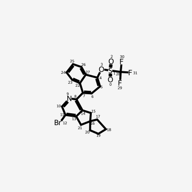 O=S(=O)(Oc1ccc(-c2ncc(Br)c3c2CC2(CCCC2)C3)c2ccccc12)C(F)(F)F